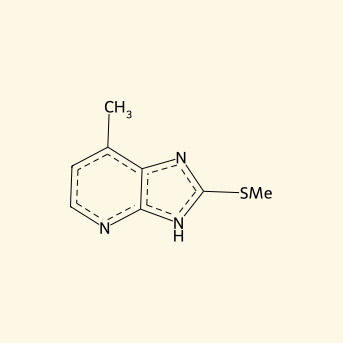 CSc1nc2c(C)ccnc2[nH]1